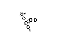 CCNC(=O)N1CCN(c2cnn(-c3ccc(Cl)cc3)c(=O)c2Oc2ccc(-c3ccccc3)cc2)CC1